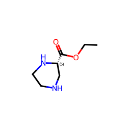 CCOC(=O)[C@@H]1CNCCN1